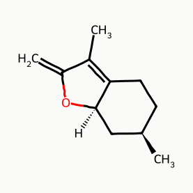 C=C1O[C@@H]2C[C@H](C)CCC2=C1C